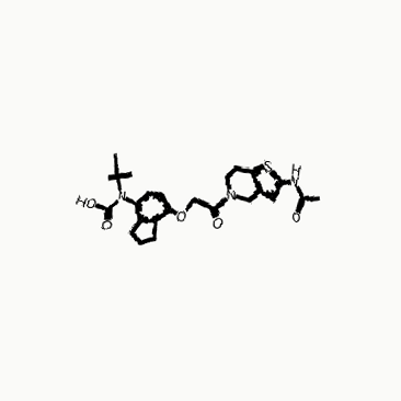 CC(=O)Nc1cc2c(s1)CCN(C(=O)COc1ccc(N(C(=O)O)C(C)(C)C)c3c1CCC3)C2